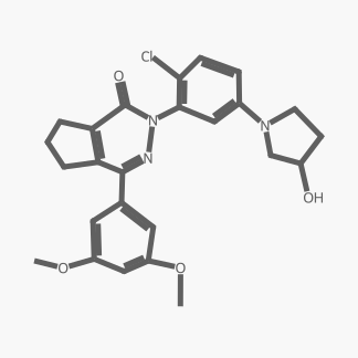 COc1cc(OC)cc(-c2nn(-c3cc(N4CCC(O)C4)ccc3Cl)c(=O)c3c2CCC3)c1